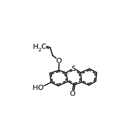 C=CCOc1cc(O)cc2c(=O)c3ccccc3sc12